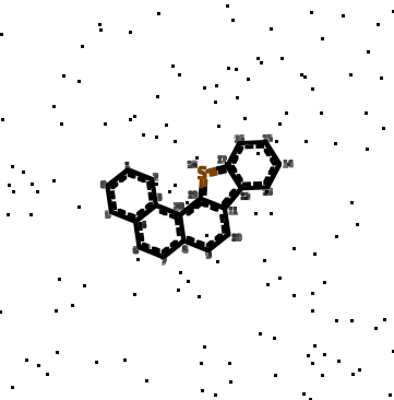 c1ccc2c(c1)ccc1ccc3c4ccccc4sc3c12